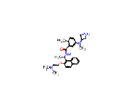 Cc1ccc(N(C)C2CNC2)cc1C(=O)NC(C)c1c(OCCN(C)C)ccc2ccccc12